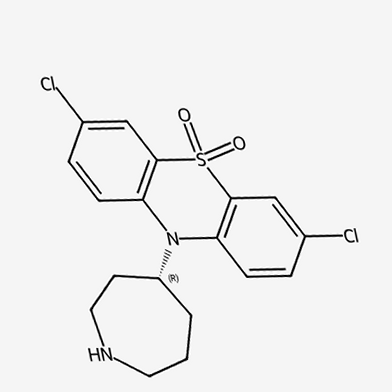 O=S1(=O)c2cc(Cl)ccc2N([C@@H]2CCCNCC2)c2ccc(Cl)cc21